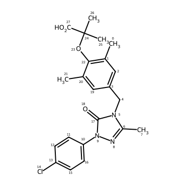 Cc1cc(Cn2c(C)nn(-c3ccc(Cl)cc3)c2=O)cc(C)c1OC(C)(C)C(=O)O